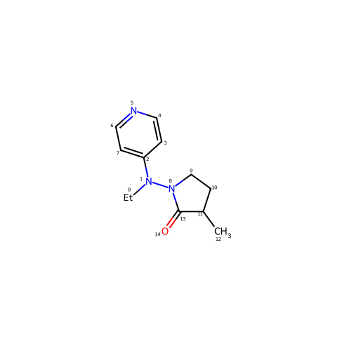 CCN(c1ccncc1)N1CCC(C)C1=O